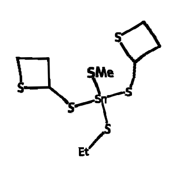 CC[S][Sn]([S]C)([S]C1CCS1)[S]C1CCS1